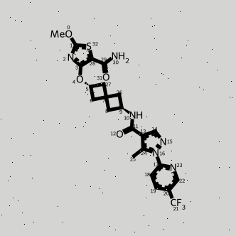 COc1nc(O[C@H]2CC3(C[C@H](NC(=O)c4cnn(-c5ccc(C(F)(F)F)cn5)c4C)C3)C2)c(C(N)=O)s1